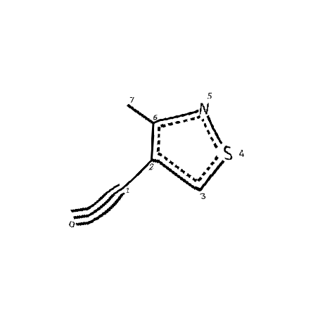 C#Cc1csnc1C